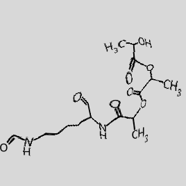 CC(O)C(=O)OC(C)C(=O)OC(C)C(=O)NC(C=O)CCCCNC=O